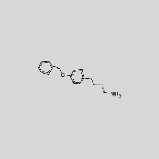 NCCCCc1ccc(OCc2ccccc2)cc1